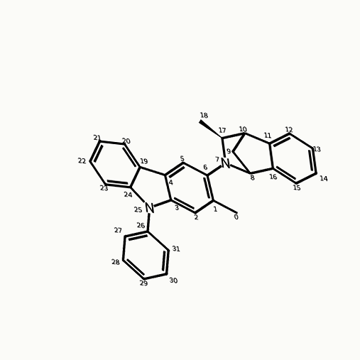 Cc1cc2c(cc1N1C3CC(c4ccccc43)[C@@H]1C)c1ccccc1n2-c1ccccc1